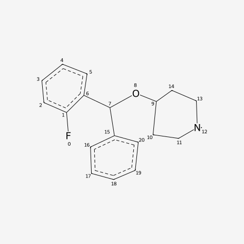 Fc1ccccc1C(OC1CC[N]CC1)c1ccccc1